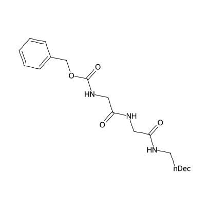 CCCCCCCCCCCNC(=O)CNC(=O)CNC(=O)OCc1ccccc1